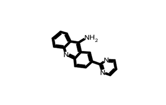 Nc1c2ccccc2nc2ccc(-c3ncccn3)cc12